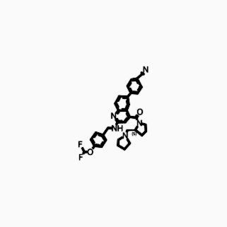 N#Cc1ccc(-c2ccc3nc(NCc4ccc(OC(F)F)cc4)cc(C(=O)N4CCC[C@H]4CN4CCCC4)c3c2)cc1